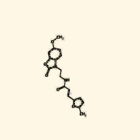 COc1ccc2c(c1)oc(=O)n2CCNC(=O)/C=C/c1ccc(C)o1